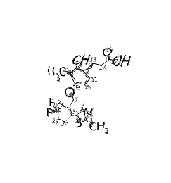 Cc1ncc(C2=C(COc3ccc(CCC(=O)O)c(C)c3C)CC(F)(F)CC2)s1